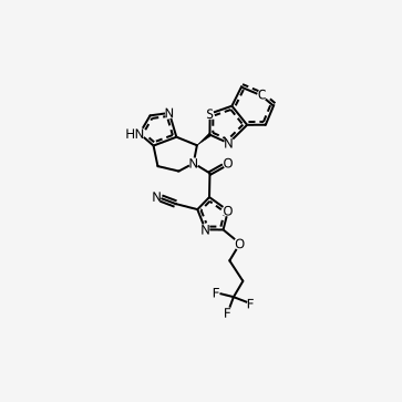 N#Cc1nc(OCCC(F)(F)F)oc1C(=O)N1CCc2[nH]cnc2[C@H]1c1nc2ccccc2s1